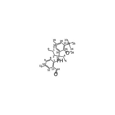 CCCC(CC)(Pc1ccc(C)cc1C=O)c1cc(C)cc(C(C)(C)C)c1OC